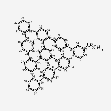 COc1cccc(-c2ccc(-c3ccccc3-c3cc(-c4ccccc4-c4ccc(-c5ccccc5)nc4)cc(-c4ccccc4-c4ccc(-c5ccccc5)nc4)c3)cn2)c1